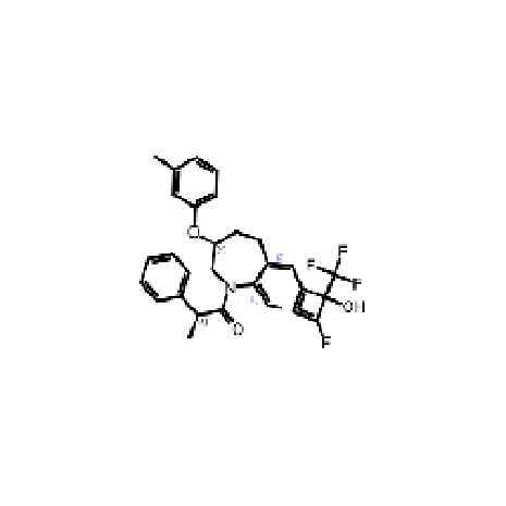 C/C=C1\C(=C/C2=C=C(F)C2(O)C(F)(F)F)CC[C@H](Oc2cccc(C)c2)CN1C(=O)[C@@H](C)c1ccccc1